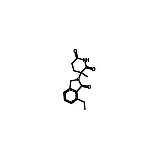 CCc1cccc2c1C(=O)N(C1(C)CCC(=O)NC1=O)C2